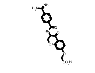 CC(=O)OCC(NC(=O)c1ccc(C(=N)N)cc1)C(=O)c1ccc(OCC(=O)O)cc1